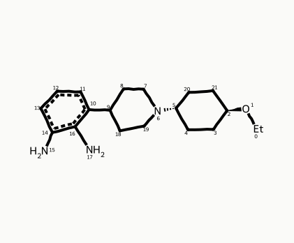 CCO[C@H]1CC[C@H](N2CCC(c3cccc(N)c3N)CC2)CC1